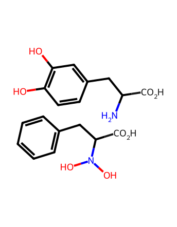 NC(Cc1ccc(O)c(O)c1)C(=O)O.O=C(O)C(Cc1ccccc1)N(O)O